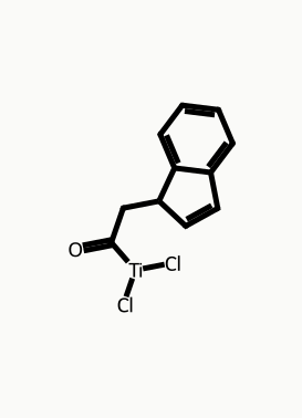 O=[C](CC1C=Cc2ccccc21)[Ti]([Cl])[Cl]